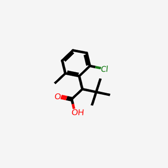 Cc1cccc(Cl)c1C(C(=O)O)C(C)(C)C